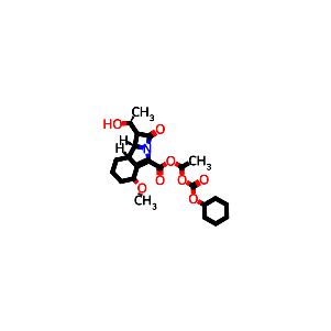 COC1CCC[C@H]2C1=C(C(=O)OC(C)OC(=O)OC1CCCCC1)N1C(=O)C([C@@H](C)O)[C@@H]21